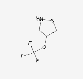 FC(F)(F)OC1[CH]SNC1